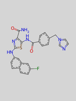 NC(=O)c1nc(Nc2ccc3ccc(F)cc3c2)sc1NC(=O)c1ccc(Cn2ccnc2)cc1